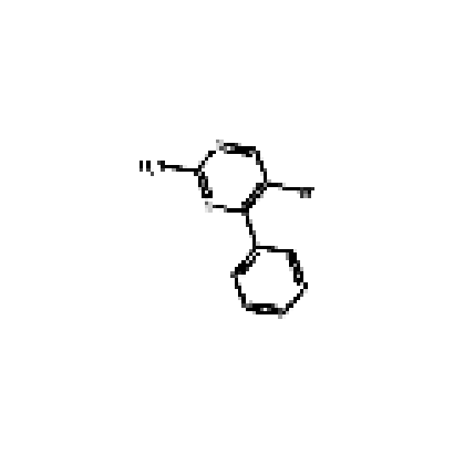 Nc1ncc(Br)c(-c2ccccc2)n1